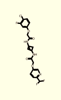 O=C(COc1ccc(C(F)F)nc1)NC12CC(NC(=O)COc3ccc(Cl)c(F)c3)(C1)C2